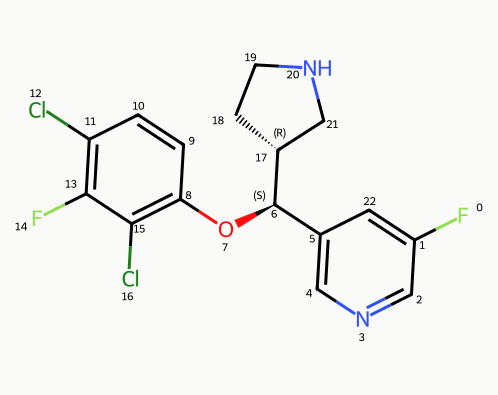 Fc1cncc([C@@H](Oc2ccc(Cl)c(F)c2Cl)[C@@H]2CCNC2)c1